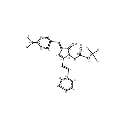 CN(C)c1ccc(/C=C2N=C(/C=C/c3ccccc3)N(CC(=O)OC(C)(C)C)C\2=O)cc1